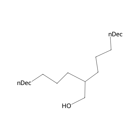 CCCCCCCCCCCCCC(CO)CCCCCCCCCCCCC